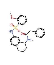 COc1ccccc1S(=O)(=O)Nc1ccc2c(c1)C(N(C)C(=O)Cc1ccccc1)CCC2